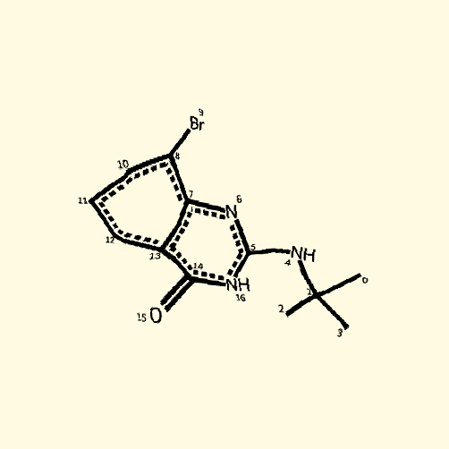 CC(C)(C)Nc1nc2c(Br)cccc2c(=O)[nH]1